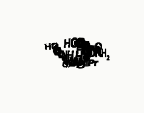 CC(C)[C@@H](CNC(=O)N[C@H](CNC(N)=O)Cc1ccc(O)cc1)NC(=O)NC[C@H](C)NC(=O)NC[C@@H](N)Cc1ccc(O)cc1